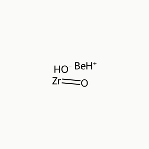 [BeH+].[OH-].[O]=[Zr]